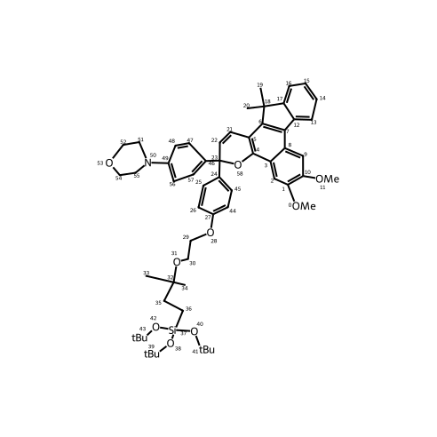 COc1cc2c3c(c4c(c2cc1OC)-c1ccccc1C4(C)C)C=CC(c1ccc(OCCOC(C)(C)CC[Si](OC(C)(C)C)(OC(C)(C)C)OC(C)(C)C)cc1)(c1ccc(N2CCOCC2)cc1)O3